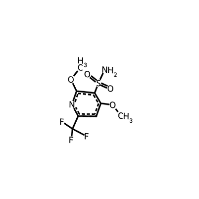 COc1cc(C(F)(F)F)nc(OC)c1S(N)(=O)=O